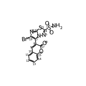 NS(=O)(=O)c1nn2c(-c3cc4ccccc4oc3=O)c(Br)nc2s1